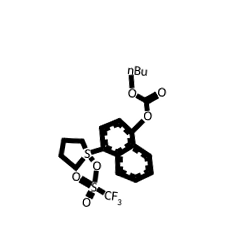 CCCCOC(=O)Oc1ccc(S2(OS(=O)(=O)C(F)(F)F)CCCC2)c2ccccc12